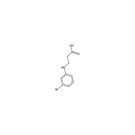 O=C(O)CCNc1cccc(Br)c1